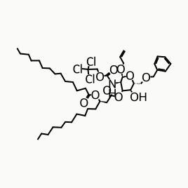 C=CCO[C@H]1O[C@H](COCc2ccccc2)[C@@H](O)[C@H](OC(=O)C[C@@H](CCCCCCCCCCC)OC(=O)CCCCCCCCCCCCC)[C@H]1NC(=O)OCC(Cl)(Cl)Cl